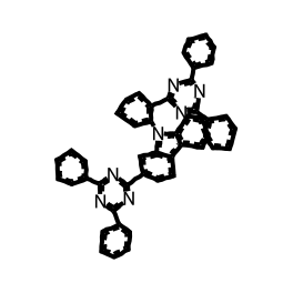 c1ccc(-c2nc(-c3ccccc3)nc(-c3ccc4c5ccccc5n(-c5ccccc5-c5nc(-c6ccccc6)nc(-c6ccccc6)n5)c4c3)n2)cc1